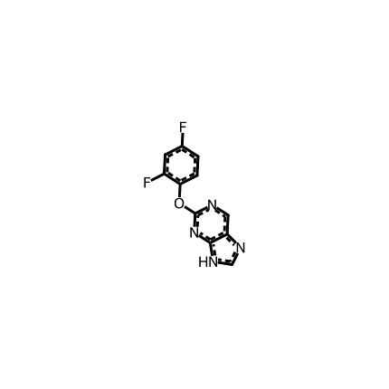 Fc1ccc(Oc2ncc3nc[nH]c3n2)c(F)c1